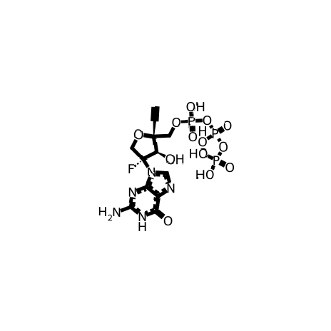 C#C[C@]1(COP(=O)(O)OP(=O)(O)OP(=O)(O)O)OC[C@](F)(n2cnc3c(=O)[nH]c(N)nc32)[C@@H]1O